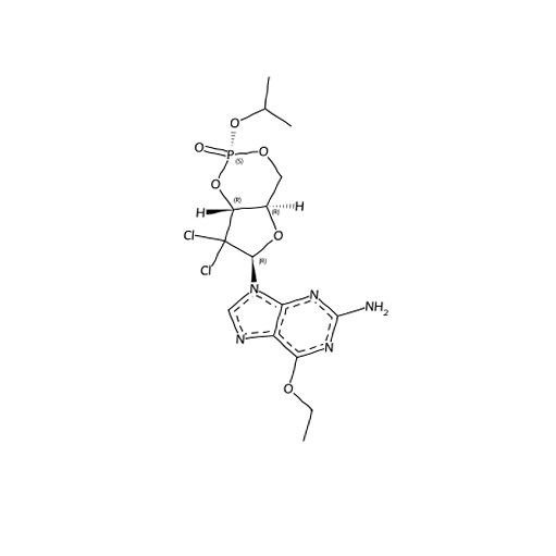 CCOc1nc(N)nc2c1ncn2[C@@H]1O[C@@H]2CO[P@@](=O)(OC(C)C)O[C@H]2C1(Cl)Cl